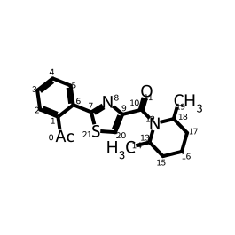 CC(=O)c1ccccc1-c1nc(C(=O)N2C(C)CCCC2C)cs1